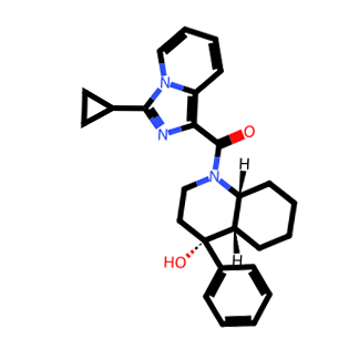 O=C(c1nc(C2CC2)n2ccccc12)N1CC[C@](O)(c2ccccc2)[C@H]2CCCC[C@H]21